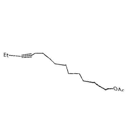 CCC#CCCCCCCCCOC(C)=O